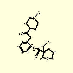 CC(=O)N1CCC(C(=O)Sc2ccccc2NC(=O)C2(CC(C)C)CCCCC2)CC1